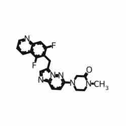 CN1CCN(c2ccc3ncc(Cc4c(F)cc5ncccc5c4F)n3n2)CC1=O